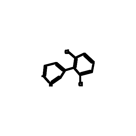 Clc1cccc(Cl)c1-c1cc[c]nc1